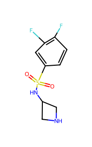 O=S(=O)(NC1CNC1)c1ccc(F)c(F)c1